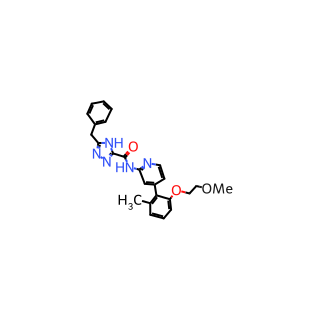 COCCOc1cccc(C)c1-c1ccnc(NC(=O)c2nnc(Cc3ccccc3)[nH]2)c1